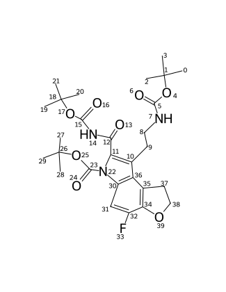 CC(C)(C)OC(=O)NCCc1c(C(=O)NC(=O)OC(C)(C)C)n(C(=O)OC(C)(C)C)c2cc(F)c3c(c12)CCO3